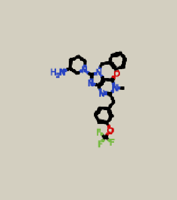 Cn1c(Cc2cccc(OC(F)(F)F)c2)nc2nc(N3CCCC(N)C3)n(Cc3ccccc3)c2c1=O